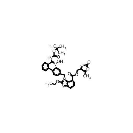 CCOc1nc2cccc(C(=O)OCc3oc(=O)oc3C)c2n1Cc1ccc(-c2ccccc2C(=NO)NC(=O)OC(C)(C)C)cc1